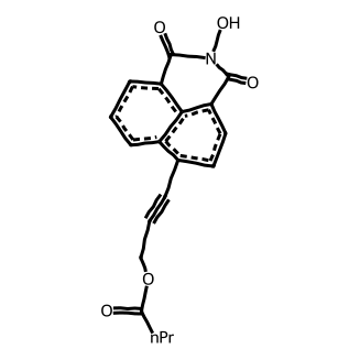 CCCC(=O)OCC#Cc1ccc2c3c(cccc13)C(=O)N(O)C2=O